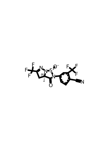 C[C@]12CC(C(F)(F)F)=NN1[S+]([O-])N(c1ccc(C#N)c(C(F)(F)F)c1)C2=O